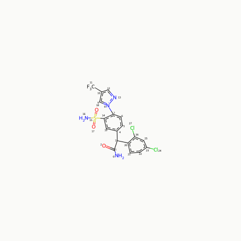 NC(=O)C(c1ccc(-n2cc(C(F)(F)F)cn2)c(S(N)(=O)=O)c1)c1ccc(Cl)cc1Cl